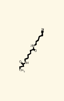 CCCC(=O)NCCCCCC(=O)NCCCCCC#N